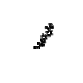 CNC(=O)Nc1cn2nc(-c3cccc(C(=O)NC(C)C)c3)ccc2n1